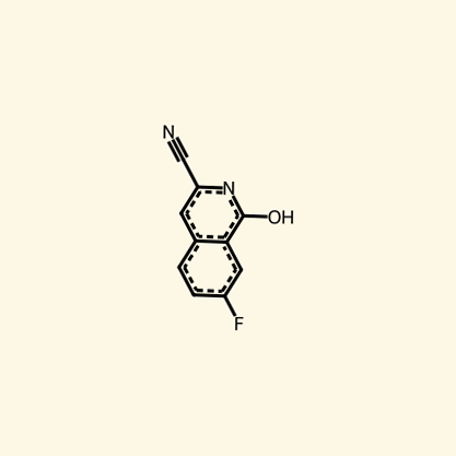 N#Cc1cc2ccc(F)cc2c(O)n1